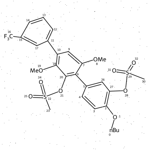 CCCCOc1ccc(-c2c(OC)cc(-c3cccc(C(F)(F)F)c3)c(OC)c2OS(C)(=O)=O)cc1OS(C)(=O)=O